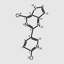 Clc1ccc(-c2nc(Cl)c3sccc3n2)cn1